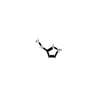 C[CH]Oc1cc[nH]n1